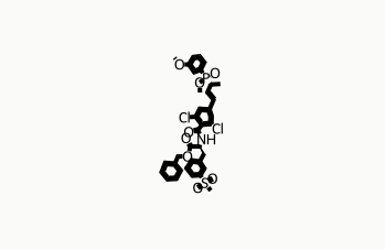 COc1cccc(P(=O)(OC)C(C)/C=C/c2cc(Cl)c(C(=O)N[C@@H](Cc3cccc(S(C)(=O)=O)c3)C(=O)OCc3ccccc3)c(Cl)c2)c1